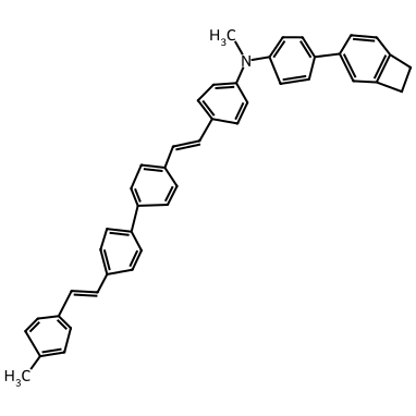 Cc1ccc(/C=C/c2ccc(-c3ccc(/C=C/c4ccc(N(C)c5ccc(-c6ccc7c(c6)CC7)cc5)cc4)cc3)cc2)cc1